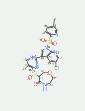 Cc1ccc(S(=O)(=O)n2cc(-c3ncc(F)c([S+]([O-])C4COCCNC4=O)n3)c3cc(Cl)cnc32)cc1